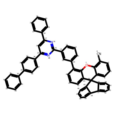 N#Cc1cccc2c1Oc1c(-c3cccc(-c4nc(-c5ccccc5)cc(-c5ccc(-c6ccccc6)cc5)n4)c3)cccc1C21c2ccccc2-c2ccccc21